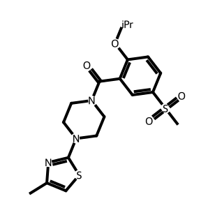 Cc1csc(N2CCN(C(=O)c3cc(S(C)(=O)=O)ccc3OC(C)C)CC2)n1